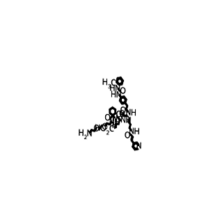 Cc1ccccc1NC(=O)Nc1ccc(CC(=O)N[C@@H](CCCCNC(=O)/C=C/c2cccnc2)C(=O)N[C@@H](CCCC(=O)O)C(=O)NC2(C(=O)NCCOCCOCCN)CCCCC2)cc1